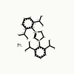 CC(C)c1cccc(C(C)C)c1N1C=[N+](c2c(C(C)C)cccc2C(C)C)CC1.[BH4-]